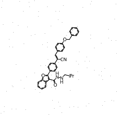 CC(C)CNNC(=O)c1c(-c2ccc(C(C#N)=Cc3ccc(OCc4ccccc4)cc3)cc2)oc2ccccc12